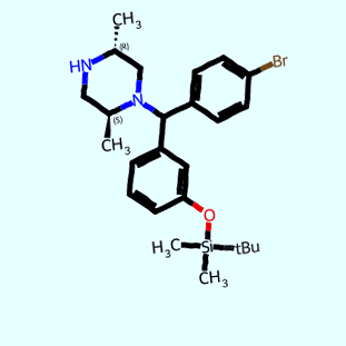 C[C@@H]1CN(C(c2ccc(Br)cc2)c2cccc(O[Si](C)(C)C(C)(C)C)c2)[C@@H](C)CN1